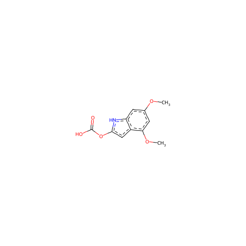 COc1cc(OC)c2cc(OC(=O)O)[nH]c2c1